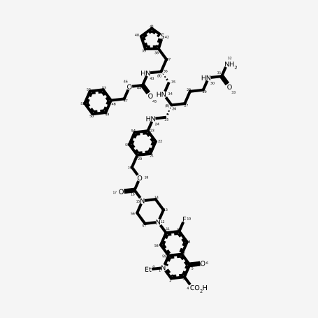 CCn1cc(C(=O)O)c(=O)c2cc(F)c(N3CCN(C(=O)OCc4ccc(NC[C@@H](CCCNC(N)=O)NC[C@@H](Cc5cccs5)NC(=O)OCc5ccccc5)cc4)CC3)cc21